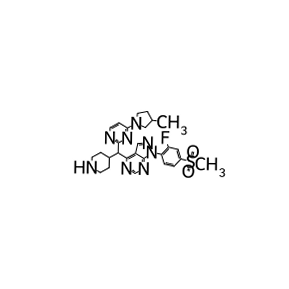 CC1CCN(c2ccnc(C(c3ncnc4c3cnn4-c3ccc(S(C)(=O)=O)cc3F)C3CCNCC3)n2)C1